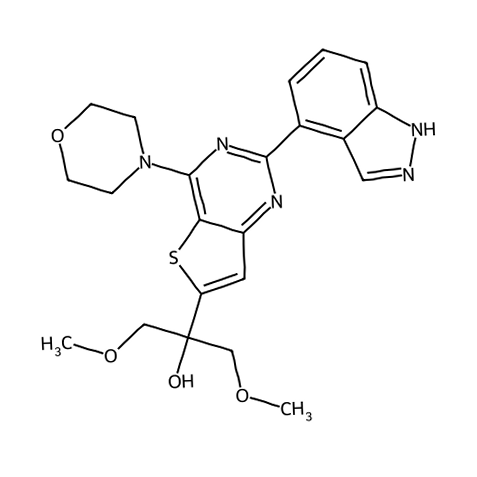 COCC(O)(COC)c1cc2nc(-c3cccc4[nH]ncc34)nc(N3CCOCC3)c2s1